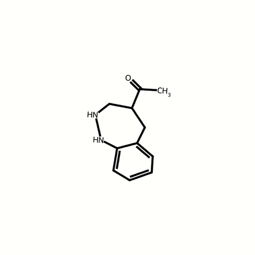 CC(=O)C1CNNc2ccccc2C1